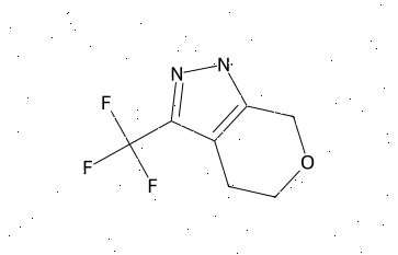 FC(F)(F)C1=N[N]C2=C1CCOC2